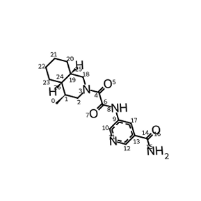 C[C@@H]1CN(C(=O)C(=O)Nc2cncc(C(N)=O)c2)C[C@H]2CCCC[C@H]21